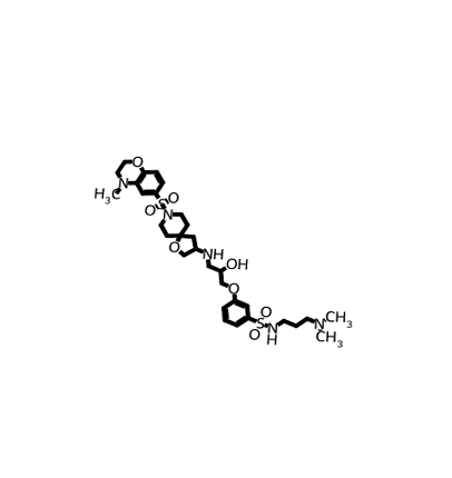 CN(C)CCCNS(=O)(=O)c1cccc(OCC(O)CNC2COC3(CCN(S(=O)(=O)c4ccc5c(c4)N(C)CCO5)CC3)C2)c1